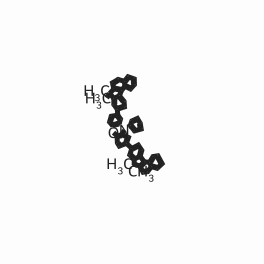 CC1(C)c2cc(-c3ccc4c(c3)N(c3ccccc3)c3cc(-c5ccc6c(c5)C(C)(C)c5ccc7ccccc7c5-6)ccc3O4)ccc2-c2c1ccc1ccccc21